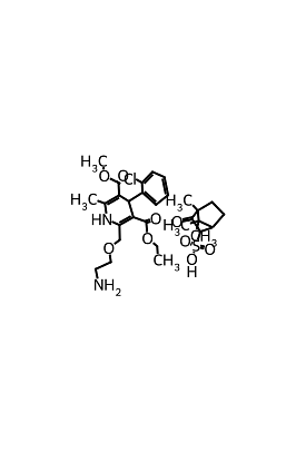 CC12CCC(C(S(=O)(=O)O)C1=O)C2(C)C.CCOC(=O)C1=C(COCCN)NC(C)=C(C(=O)OC)C1c1ccccc1Cl